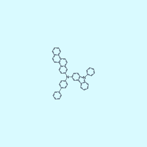 c1ccc(-c2ccc(N(c3ccc4c(ccc5c6ccccc6ccc45)c3)c3ccc4c(c3)c3ccccc3n4-c3ccccc3)cc2)cc1